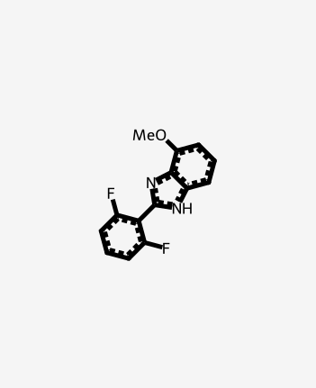 COc1cccc2[nH]c(-c3c(F)cccc3F)nc12